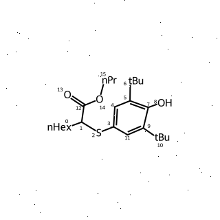 CCCCCCC(Sc1cc(C(C)(C)C)c(O)c(C(C)(C)C)c1)C(=O)OCCC